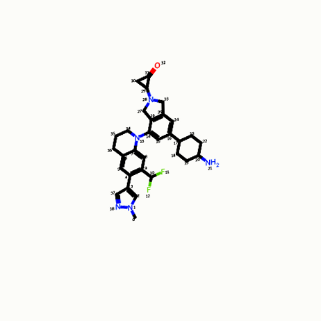 Cn1cc(-c2cc3c(cc2C(F)F)N(c2cc(C4CCC(N)CC4)cc4c2CN(C2CC2=O)C4)CCC3)cn1